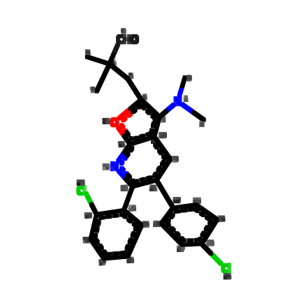 CN(C)c1c(CC(C)(C)C=O)oc2nc(-c3ccccc3Cl)c(-c3ccc(Cl)cc3)cc12